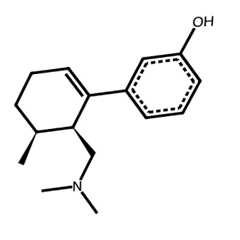 C[C@H]1CCC=C(c2cccc(O)c2)[C@H]1CN(C)C